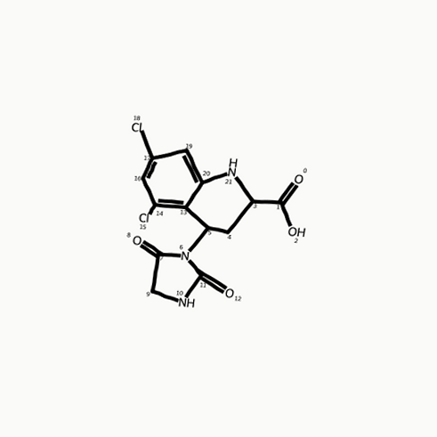 O=C(O)C1CC(N2C(=O)CNC2=O)c2c(Cl)cc(Cl)cc2N1